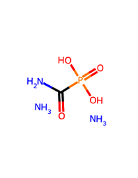 N.N.NC(=O)P(=O)(O)O